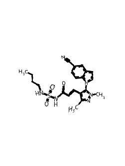 CCCCNS(=O)(=O)NC(=O)C=Cc1c(C)nn(C)c1-n1ccc2cc(C#N)ccc21